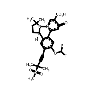 CC1(C)CC[C@@H]2c3cc(C#CC(C)(C)S(C)(=O)=O)c(OC(F)F)cc3-c3cc(=O)c(C(=O)O)cn3N21